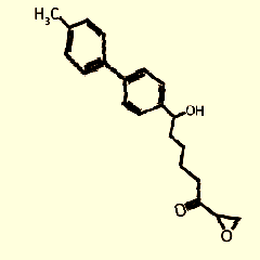 Cc1ccc(-c2ccc(C(O)CCCCC(=O)C3CO3)cc2)cc1